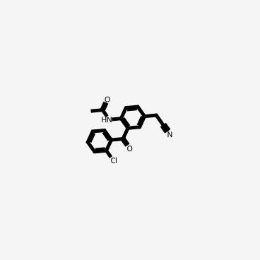 CC(=O)Nc1ccc(CC#N)cc1C(=O)c1ccccc1Cl